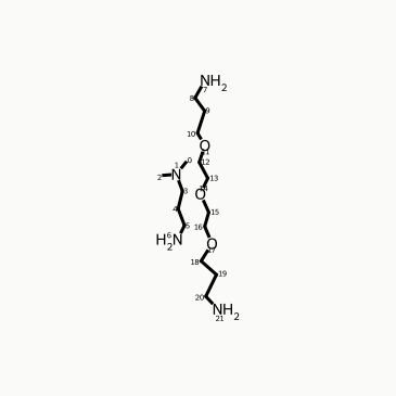 CN(C)CCCN.NCCCOCCOCCOCCCN